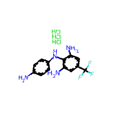 Cl.Cl.Cl.Nc1ccc(Nc2c(N)cc(C(F)(F)F)cc2N)cc1